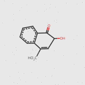 O=C(O)C1=CC(O)C(=O)c2ccccc21